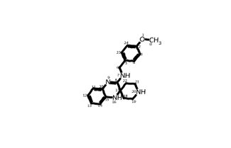 COc1ccc(CNC2=Nc3ccccc3NC23CCNCC3)cc1